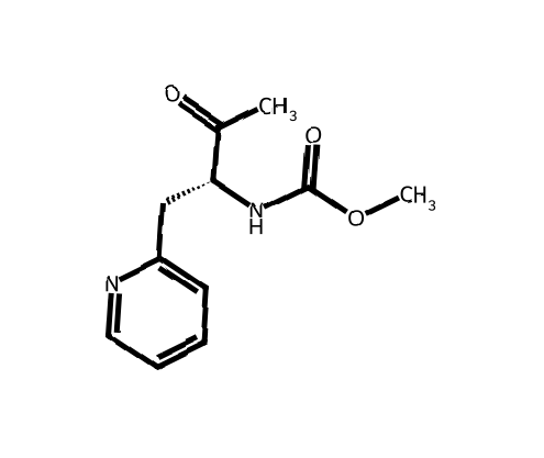 COC(=O)N[C@H](Cc1ccccn1)C(C)=O